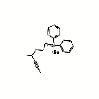 CC#CC(C)CCO[Si](c1ccccc1)(c1ccccc1)C(C)(C)C